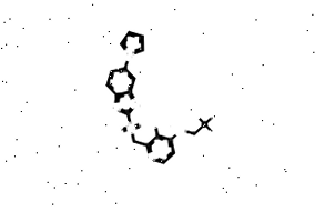 Cc1c(OCC(F)(F)F)ccnc1CS(=O)(=O)c1nc2cc(-n3cccc3)ccc2[nH]1